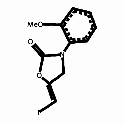 COc1ccccc1N1CC(=CI)OC1=O